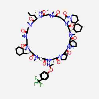 CC[C@H](C)[C@@H]1NC(=O)[C@H](C)N(C)C(=O)C[C@@H](C(=O)N2CCCCC2)N(C)C(=O)[C@H](C2CCCCC2)N(C)C(=O)C2(CCCC2)NC(=O)[C@@H]2CCCN2C(=O)[C@H](CCOc2ccc(C(F)(F)F)cc2)NC(=O)CN(C)C(=O)[C@H](CC2CCCCC2)N(C)C(=O)CN(C)C(=O)CN(C)C1=O